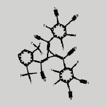 N#CC(=C1C(=C(\C#N)c2c(C(F)(F)F)cccc2C(F)(F)F)/C1=C(\C#N)c1c(F)c(F)c(C#N)c(C#N)c1F)c1c(F)c(F)c(C#N)c(C#N)c1F